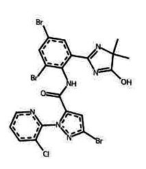 CC1(C)N=C(c2cc(Br)cc(Br)c2NC(=O)c2cc(Br)nn2-c2ncccc2Cl)N=C1O